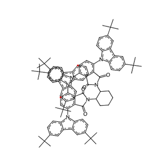 CC(C)(C)c1ccc2c(c1)c1ccccc1n2-c1ccc(-n2c3ccc(C(C)(C)C)cc3c3cc(C(C)(C)C)ccc32)c2c1C(=O)N(C1CCCCC1N1C(=O)c3c(-n4c5ccc(C(C)(C)C)cc5c5cc(C(C)(C)C)ccc54)ccc(-n4c5ccc(C(C)(C)C)cc5c5cc(C(C)(C)C)ccc54)c3C1=O)C2=O